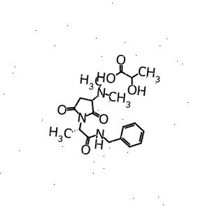 CC(O)C(=O)O.C[C@@H](C(=O)NCc1ccccc1)N1C(=O)CC(N(C)C)C1=O